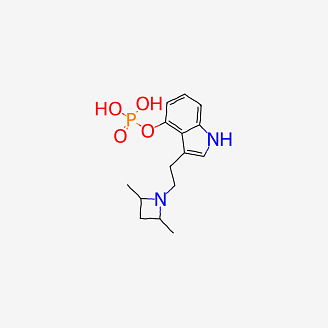 CC1CC(C)N1CCc1c[nH]c2cccc(OP(=O)(O)O)c12